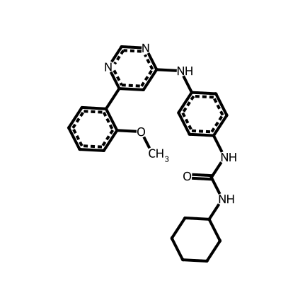 COc1ccccc1-c1cc(Nc2ccc(NC(=O)NC3CCCCC3)cc2)ncn1